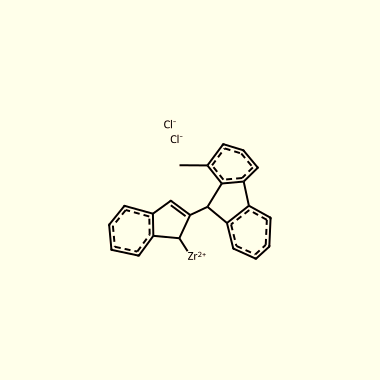 Cc1cccc2c1C(C1=Cc3ccccc3[CH]1[Zr+2])c1ccccc1-2.[Cl-].[Cl-]